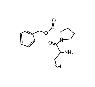 N[C@@H](CS)C(=O)N1CCC[C@H]1C(=O)OCc1ccccc1